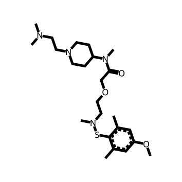 COc1cc(C)c(SN(C)CCOCC(=O)N(C)C2CCN(CCN(C)C)CC2)c(C)c1